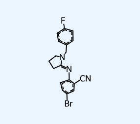 N#Cc1cc(Br)ccc1/N=C1\CCCN1Cc1ccc(F)cc1